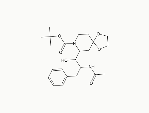 CC(=O)NC(Cc1ccccc1)C(O)C1CC2(CCN1C(=O)OC(C)(C)C)OCCO2